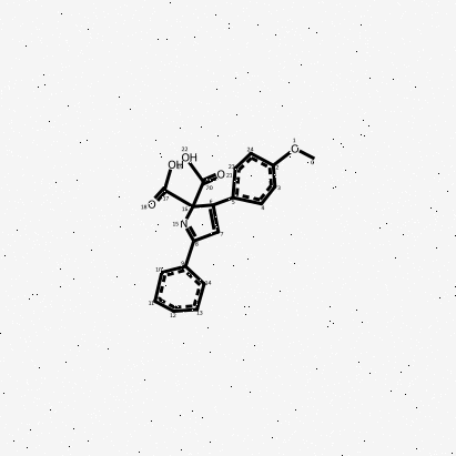 COc1ccc(C2=CC(c3ccccc3)=NC2(C(=O)O)C(=O)O)cc1